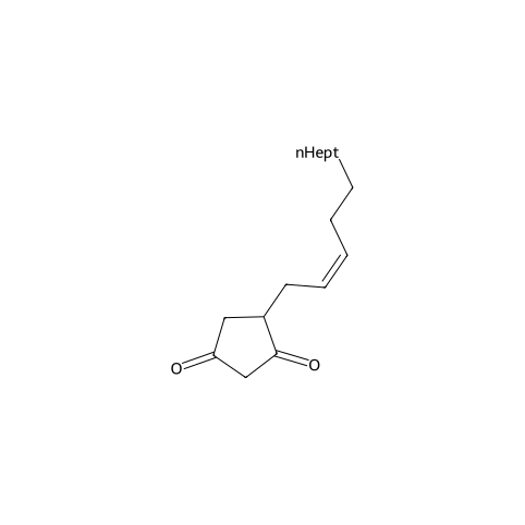 CCCCCCCCC/C=C\CC1CC(=O)CC1=O